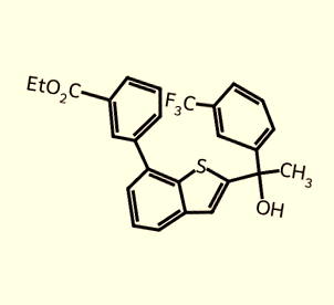 CCOC(=O)c1cccc(-c2cccc3cc(C(C)(O)c4cccc(C(F)(F)F)c4)sc23)c1